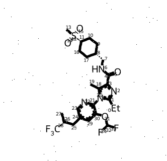 CCc1nc(C(=O)NC[C@H]2CC[C@@H](S(C)(=O)=O)CC2)c(C)n1-c1ncc(C[C@@H](C)C(F)(F)F)cc1OC(F)F